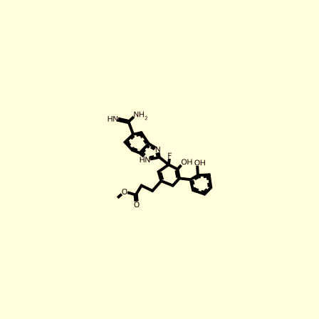 COC(=O)CCC1=CC(F)(c2nc3cc(C(=N)N)ccc3[nH]2)C(O)=C(c2ccccc2O)C1